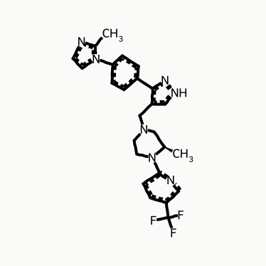 Cc1nccn1-c1ccc(-c2n[nH]cc2CN2CCN(c3ccc(C(F)(F)F)cn3)[C@H](C)C2)cc1